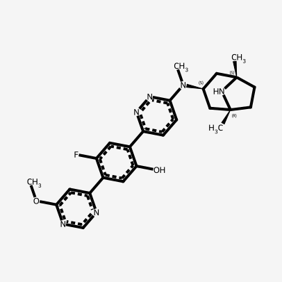 COc1cc(-c2cc(O)c(-c3ccc(N(C)[C@H]4C[C@]5(C)CC[C@](C)(C4)N5)nn3)cc2F)ncn1